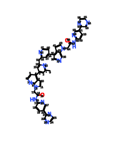 Cc1cc(-c2ccnc3c2ccn3CC(=O)Nc2ccc(-c3cnccn3)cn2)cc(Cc2cc(-c3cncc4c3ccn4CC(=O)Nc3ccc(-c4cnccn4)cn3)ccn2)n1